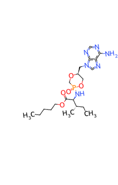 CCCCCOC(=O)[C@@H](NP1(=O)CO[C@@H](Cn2cnc3c(N)ncnc32)CO1)[C@@H](C)CC